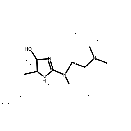 CC1NC(N(C)CCN(C)C)=NC1O